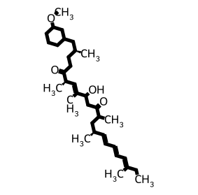 CC/C(C)=C/C=C/C=C/[C@@H](C)CC(C)C(=O)CC(O)/C(C)=C/[C@@H](C)C(=O)CC[C@H](C)CC1CCCC(OC)C1